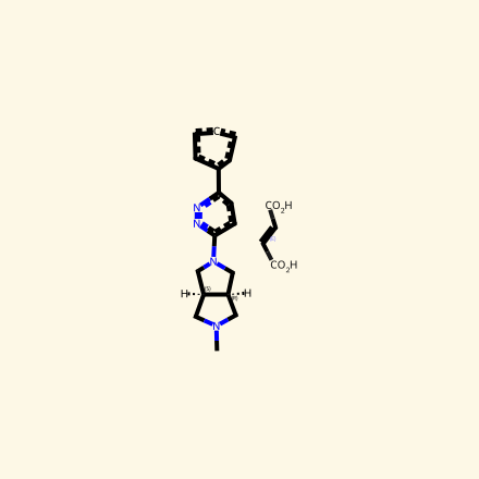 CN1C[C@@H]2CN(c3ccc(-c4ccccc4)nn3)C[C@@H]2C1.O=C(O)/C=C/C(=O)O